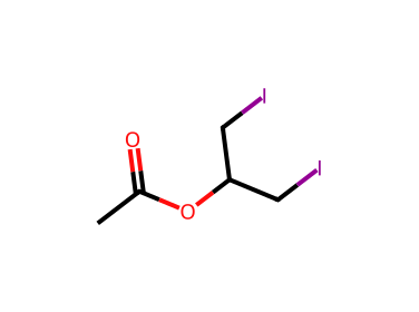 CC(=O)OC(CI)CI